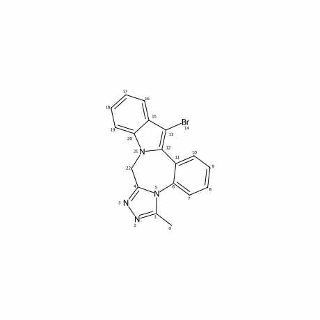 Cc1nnc2n1-c1ccccc1-c1c(Br)c3ccccc3n1C2